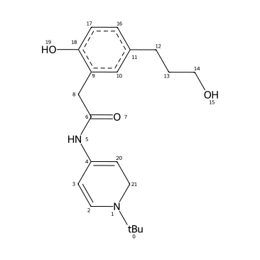 CC(C)(C)N1C=CC(NC(=O)Cc2cc(CCCO)ccc2O)=CC1